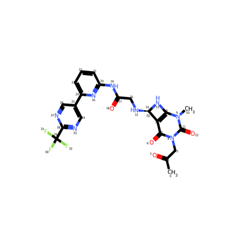 CC(=O)Cn1c(=O)c2c(n(C)c1=O)N[C@@H]2NCC(=O)Nc1cccc(-c2cnc(C(F)(F)F)nc2)n1